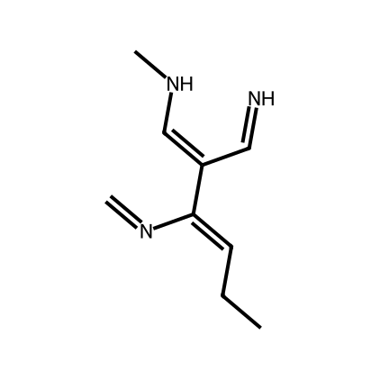 C=NC(=C\CC)/C(C=N)=C/NC